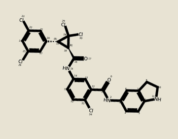 O=C(Nc1ccc2c(c1)CCN2)c1cc(NC(=O)[C@H]2[C@H](c3cc(Cl)cc(Cl)c3)C2(Cl)Cl)ccc1Cl